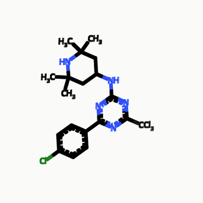 CC1(C)CC(Nc2nc(-c3ccc(Cl)cc3)nc(C(Cl)(Cl)Cl)n2)CC(C)(C)N1